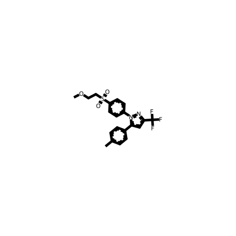 COCCS(=O)(=O)c1ccc(-n2nc(C(F)(F)F)cc2-c2ccc(C)cc2)cc1